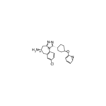 N[C@@H]1Cc2cc(Cl)ccc2-n2c(nnc2[C@H]2CC[C@H](Oc3ccccn3)CC2)C1